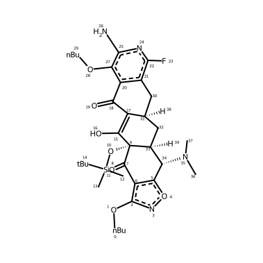 CCCCOc1noc2c1C(=O)[C@@]1(O[Si](C)(C)C(C)(C)C)C(O)=C3C(=O)c4c(c(F)nc(N)c4OCCCC)C[C@H]3C[C@H]1[C@@H]2N(C)C